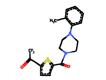 Cc1ccccc1N1CCN(C(=O)c2ccc(C(=O)C(F)(F)F)s2)CC1